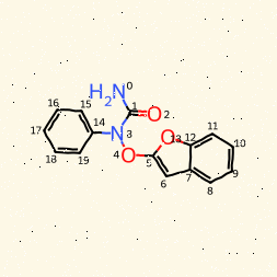 NC(=O)N(Oc1cc2ccccc2o1)c1ccccc1